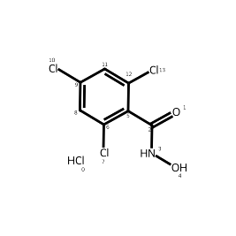 Cl.O=C(NO)c1c(Cl)cc(Cl)cc1Cl